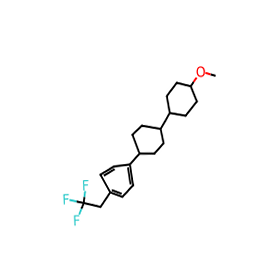 COC1CCC(C2CCC(c3ccc(CC(F)(F)F)cc3)CC2)CC1